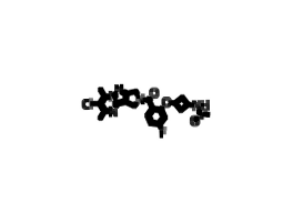 Cc1nc2c3c(nn2c(C)c1Cl)CN(C(=O)c1ccc(F)cc1OC1CC(N[S+](C)[O-])C1)C3